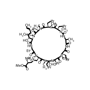 C/C=C/C[C@@H](C)[C@@H](O)[C@H]1C(=O)N[C@@H](CC)C(=O)N(C)[C@H](CSC[C@H](N)C(=O)OC)C(=O)N(C)[C@@](C=O)(CC(C)C)N[C@H](C(C)C)C(=O)N(C)[C@H](CC(C)C)C(=O)NC(=O)C(C)NC(=O)N(C)[C@H](CC(C)C)C(=O)N(C)[C@H](CC(C)C)C(=O)N(C)[C@H](C(C)C)C(=O)N1C